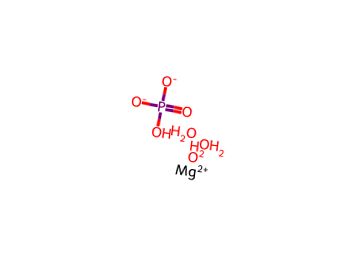 O.O.O.O=P([O-])([O-])O.[Mg+2]